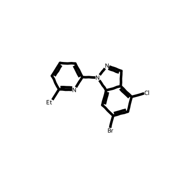 CCc1cccc(-n2ncc3c(Cl)cc(Br)cc32)n1